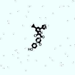 O=C(c1nn2c(-c3cnsc3)cc(C3CC3)cc2c1Cl)N1CCN([C@H]2CC[C@H](O)CC2)C(=O)C1